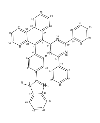 Cn1c(-c2ccc(-c3c(-c4nc(-c5ccccc5)nc(-c5ccccc5)n4)c4ccccc4c4ccccc34)cc2)nc2ccccc21